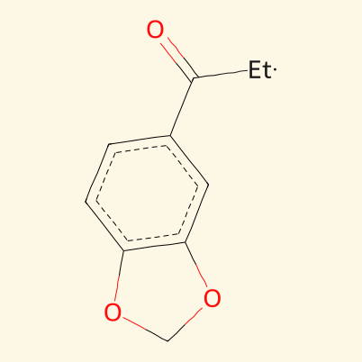 C[CH]C(=O)c1ccc2c(c1)OCO2